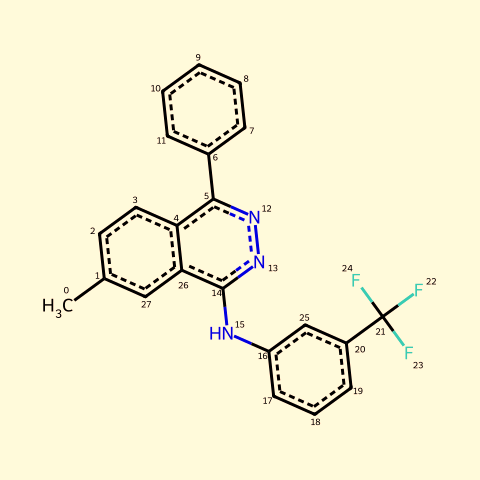 Cc1ccc2c(-c3ccccc3)nnc(Nc3cccc(C(F)(F)F)c3)c2c1